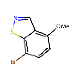 COc1ccc(Br)c2sncc12